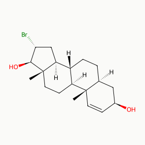 C[C@]12C=C[C@H](O)C[C@@H]1CC[C@@H]1[C@@H]2CC[C@]2(C)[C@@H](O)[C@H](Br)C[C@@H]12